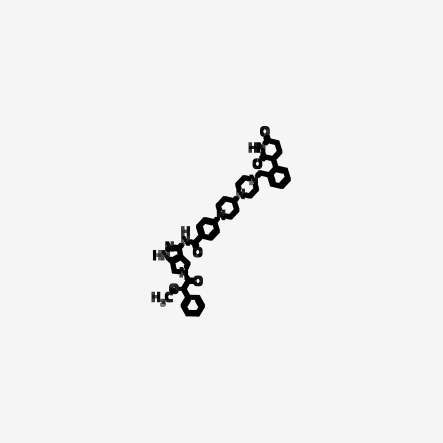 CO[C@@H](C(=O)N1Cc2[nH]nc(NC(=O)c3ccc(N4CCC(N5CCN(Cc6ccccc6C6CCC(=O)NC6=O)CC5)CC4)cc3)c2C1)c1ccccc1